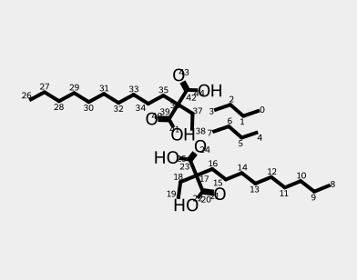 CCCC.CCCC.CCCCCCCCCC(CC)(C(=O)O)C(=O)O.CCCCCCCCCCC(CC)(C(=O)O)C(=O)O